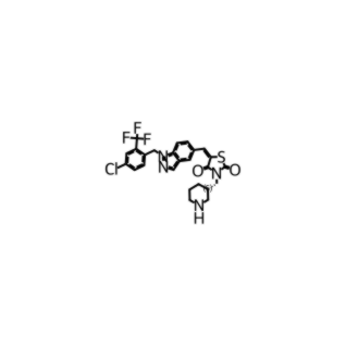 O=C1SC(=Cc2ccc3c(cnn3Cc3ccc(Cl)cc3C(F)(F)F)c2)C(=O)N1C[C@H]1CCCNC1